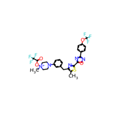 Cc1sc(-c2nc(-c3ccc(OC(F)(F)F)cc3)no2)nc1Cc1cccc(N2CC[N+](C)(OC(=O)C(F)(F)F)CC2)c1